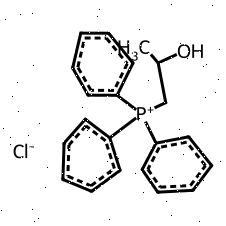 CC(O)C[P+](c1ccccc1)(c1ccccc1)c1ccccc1.[Cl-]